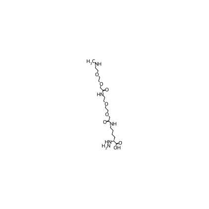 CNCCOCCOCC(=O)NCCOCCOCC(=O)NCCCC[C@H](NN)C(=O)O